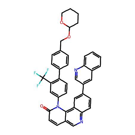 O=c1ccc2cnc3ccc(-c4cnc5ccccc5c4)cc3c2n1-c1ccc(-c2ccc(COC3CCCCO3)cc2)c(C(F)(F)F)c1